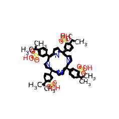 CC(C)c1ccc(C2=C3C=CC(=N3)C(c3ccc(C(C)C)c(S(=O)(=O)O)c3)=C3C=CC(=N3)C(c3ccc(C(C)C)c(S(=O)(=O)O)c3)=C3C=CC(=N3)C(c3ccc(C(C)C)c(S(=O)(=O)O)c3)=C3C=CC2=N3)cc1S(=O)(=O)O